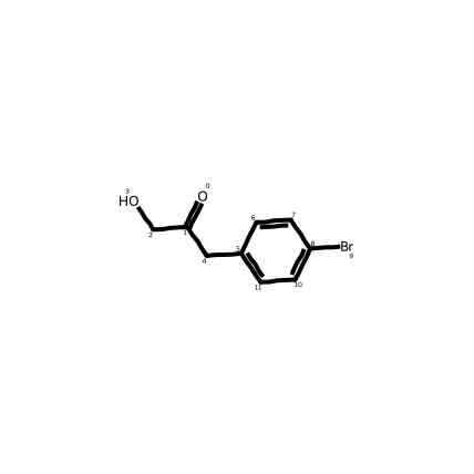 O=C(CO)Cc1ccc(Br)cc1